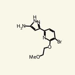 COCCOc1nc(-c2cc(N)[nH]n2)ccc1Br